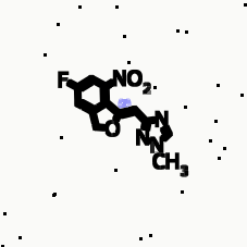 Cn1cnc(/C=C2\OCc3cc(F)cc([N+](=O)[O-])c32)n1